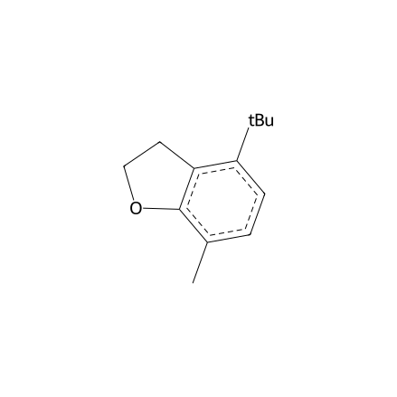 Cc1ccc(C(C)(C)C)c2c1OCC2